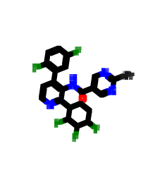 CC(C)c1ncc(C(=O)Nc2c(-c3cc(F)ccc3F)ccnc2C2CCC(F)C(F)C2F)cn1